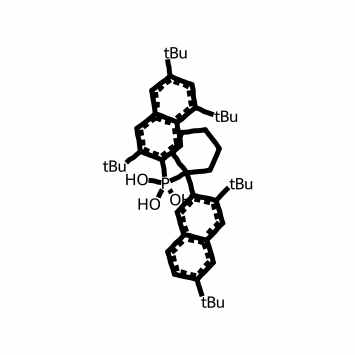 CC(C)(C)c1ccc2cc(C3(P(O)(O)(O)c4cc5c(C(C)(C)C)cc(C(C)(C)C)cc5cc4C(C)(C)C)CCCCC3)c(C(C)(C)C)cc2c1